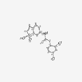 O=C(Cc1ccc(Cl)cc1Cl)Nc1ccc2c(c1)S(=O)(=O)C=C2